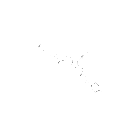 CC(=O)OCCOC(=O)N1CCc2c(sc(NC(=O)CCc3ccccn3)c2C#N)C1